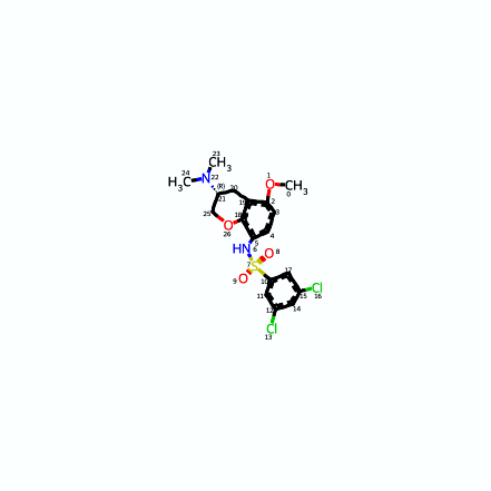 COc1ccc(NS(=O)(=O)c2cc(Cl)cc(Cl)c2)c2c1C[C@@H](N(C)C)CO2